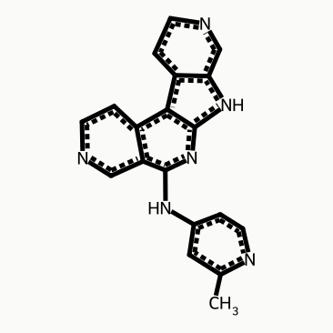 Cc1cc(Nc2nc3[nH]c4cnccc4c3c3ccncc23)ccn1